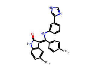 Cc1ccc(/C(Nc2cccc(-c3c[nH]cn3)c2)=C2/C(=O)Nc3ccc([N+](=O)[O-])cc32)cc1